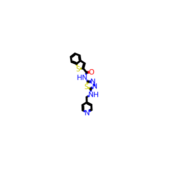 O=C(Nc1nnc(NCc2ccncc2)s1)c1cc2ccccc2s1